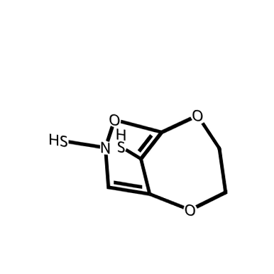 SC1=C2OCCOC1=CN(S)O2